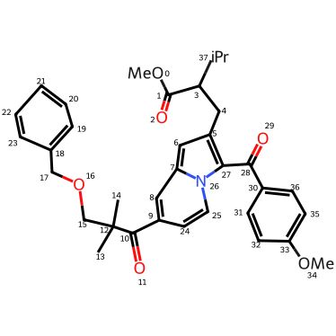 COC(=O)C(Cc1cc2cc(C(=O)C(C)(C)COCc3ccccc3)ccn2c1C(=O)c1ccc(OC)cc1)C(C)C